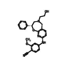 COc1cc(Nc2ccc3c(n2)O[C@H](c2ccccc2)CN(CCO)C3)ccc1C#N